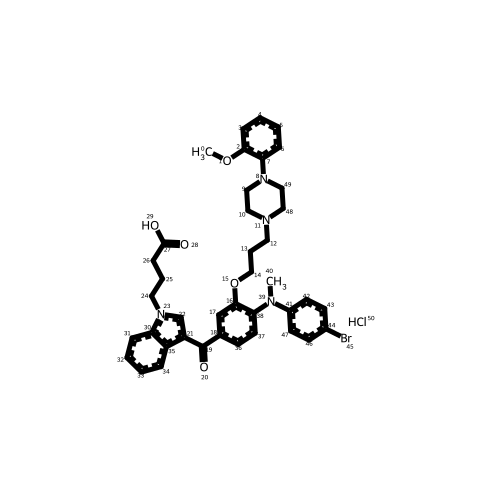 COc1ccccc1N1CCN(CCCOc2cc(C(=O)c3cn(CCCC(=O)O)c4ccccc34)ccc2N(C)c2ccc(Br)cc2)CC1.Cl